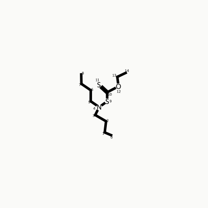 CCCCN(CCCC)SC(=S)OCC